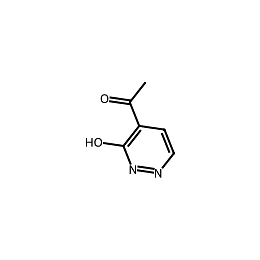 CC(=O)c1ccnnc1O